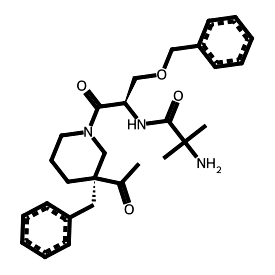 CC(=O)[C@@]1(Cc2ccccc2)CCCN(C(=O)[C@@H](COCc2ccccc2)NC(=O)C(C)(C)N)C1